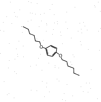 [CH2]CCCCCOc1ccc(OCCCCCC)cc1